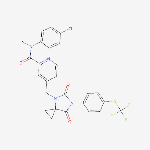 CN(C(=O)c1cc(CN2C(=O)N(c3ccc(SC(F)(F)F)cc3)C(=O)C23CC3)ccn1)c1ccc(Cl)cc1